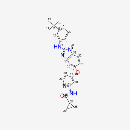 Cn1c(Nc2cccc(C(C)(C)C)c2)nc2cc(Oc3ccnc(NC(=O)C4CC4)c3)ccc21